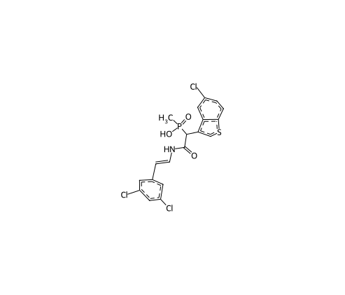 CP(=O)(O)C(C(=O)N/C=C/c1cc(Cl)cc(Cl)c1)c1csc2ccc(Cl)cc12